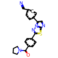 N#Cc1ccc(-c2cnc3sc(-c4ccc(C(=O)N5CCCC5)cc4)nn23)cc1